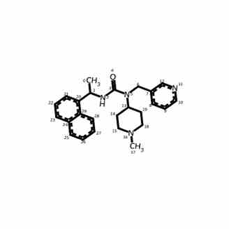 CC(NC(=O)N(Cc1cccnc1)C1CCN(C)CC1)c1cccc2ccccc12